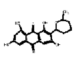 CC1CCCC(c2c(O)cc3c(c2O)C(=O)c2c(O)cc(O)cc2C3=O)O1